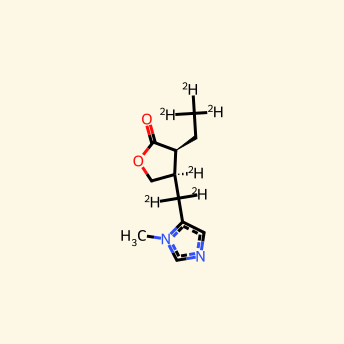 [2H]C([2H])([2H])C[C@@H]1C(=O)OC[C@]1([2H])C([2H])([2H])c1cncn1C